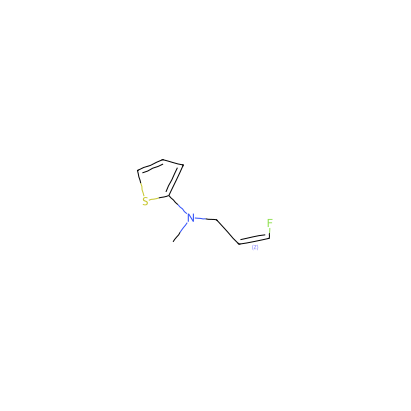 CN(C/C=C\F)c1cccs1